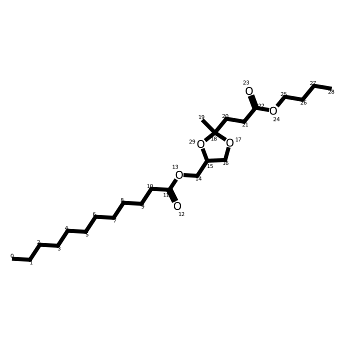 CCCCCCCCCCCC(=O)OCC1COC(C)(CCC(=O)OCCCC)O1